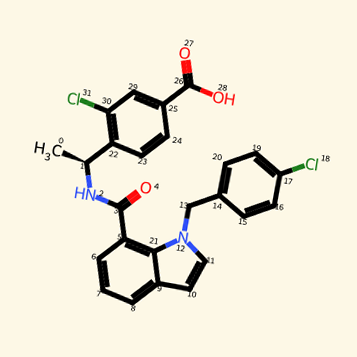 C[C@H](NC(=O)c1cccc2ccn(Cc3ccc(Cl)cc3)c12)c1ccc(C(=O)O)cc1Cl